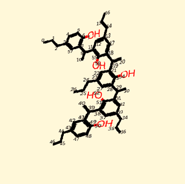 CCCc1ccc(O)c(C(C)c2cc(CCC)cc(C(C)c3cc(CCC)cc(C(C)c4cc(CCC)cc(C(C)c5cc(CCC)ccc5O)c4O)c3O)c2O)c1